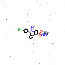 CC(C)NS(=O)(=O)c1ccc2c(c1)C1C=CCC1C(c1ccc(Br)cc1)N2